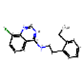 COCc1ccccc1CCNc1ncnc2c(F)cccc12